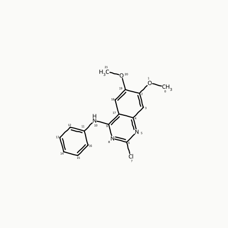 COc1cc2nc(Cl)nc(Nc3ccccc3)c2cc1OC